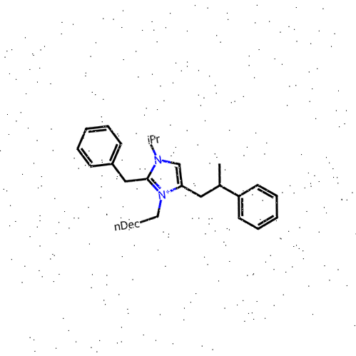 CCCCCCCCCCC[n+]1c(CC(C)c2ccccc2)cn(C(C)C)c1Cc1ccccc1